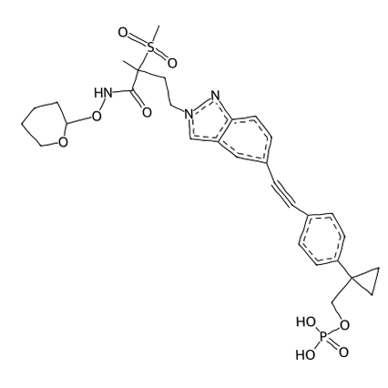 CC(CCn1cc2cc(C#Cc3ccc(C4(COP(=O)(O)O)CC4)cc3)ccc2n1)(C(=O)NOC1CCCCO1)S(C)(=O)=O